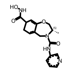 C[C@H]1COC2=CC(C(=O)NO)CC=C2CN1C(=O)Nc1cccnc1